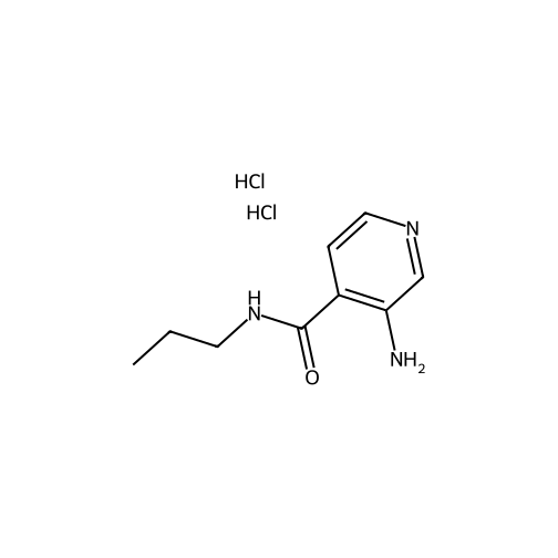 CCCNC(=O)c1ccncc1N.Cl.Cl